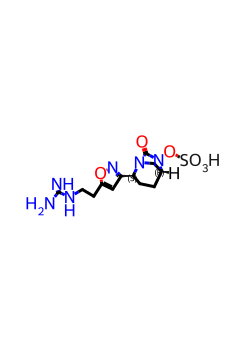 N=C(N)NCCc1cc([C@@H]2CC[C@@H]3CN2C(=O)N3OS(=O)(=O)O)no1